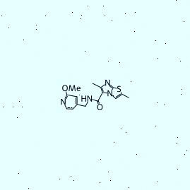 COc1cc(CNC(=O)c2c(C)nc3sc(C)cn23)ccn1